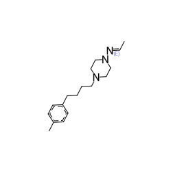 C/C=N/N1CCN(CCCCc2ccc(C)cc2)CC1